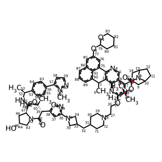 CC1c2c(ncc3c(N4CC5CCC(C4)N5C(=O)OC(C)(C)C)nc(OCCN4CCC(CC5CN(c6cc([C@H](C(=O)N7C[C@H](O)C[C@H]7C(=O)N[C@@H](C)c7ccc(-c8ccnn8C)cc7)C(C)C)on6)C5)CC4)nc23)-c2cc(OC3CCCCO3)cc3cccc1c23